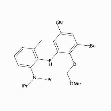 COCOc1c(Pc2c(C)cccc2N(C(C)C)C(C)C)cc(C(C)(C)C)cc1C(C)(C)C